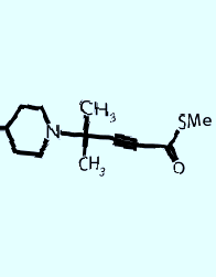 CSC(=O)C#CC(C)(C)N1CCCCC1